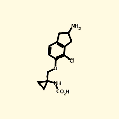 NC1Cc2ccc(OCC3(NC(=O)O)CC3)c(Cl)c2C1